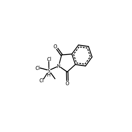 C[SH](Cl)(Cl)(Cl)N1C(=O)c2ccccc2C1=O